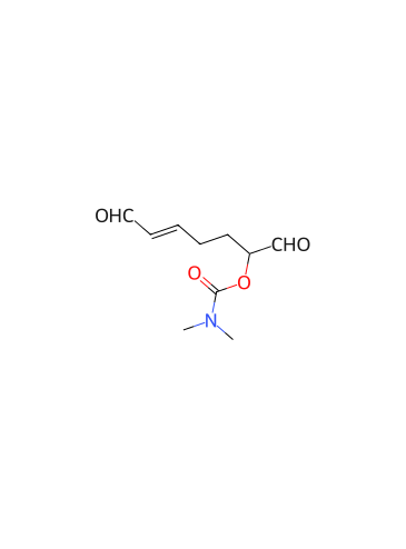 CN(C)C(=O)OC(C=O)CCC=CC=O